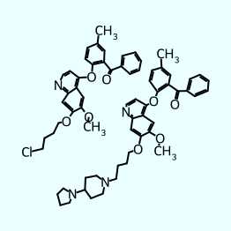 COc1cc2c(Oc3ccc(C)cc3C(=O)c3ccccc3)ccnc2cc1OCCCCCl.COc1cc2c(Oc3ccc(C)cc3C(=O)c3ccccc3)ccnc2cc1OCCCCN1CCC(N2CCCC2)CC1